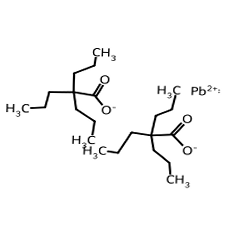 CCCC(CCC)(CCC)C(=O)[O-].CCCC(CCC)(CCC)C(=O)[O-].[Pb+2]